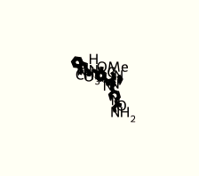 COc1cc(-c2nc(C3CCN(C(=O)CN)CC3)n3ccnc(C)c23)ccc1NC(=O)c1cc2ccccc2n1C